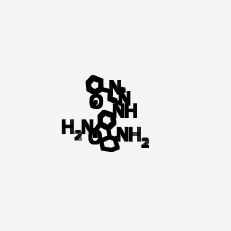 COc1ccccc1-c1cc(Nc2ccc(C(N)=O)c(C3CCCCC3N)c2)ncn1